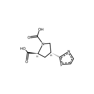 O=C(O)[C@@H]1C[C@@H](c2nccs2)CN1C(=O)O